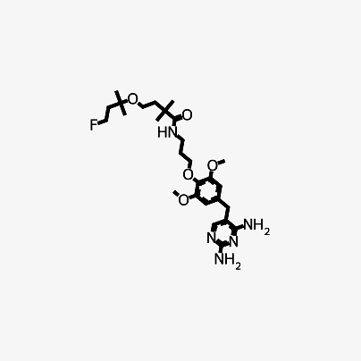 COc1cc(Cc2cnc(N)nc2N)cc(OC)c1OCCCNC(=O)C(C)(C)CCOC(C)(C)CCF